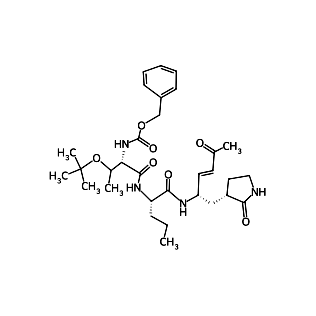 CCC[C@H](NC(=O)[C@@H](NC(=O)OCc1ccccc1)C(C)OC(C)(C)C)C(=O)N[C@H](/C=C/C(C)=O)C[C@@H]1CCNC1=O